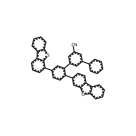 N#Cc1cc(-c2ccccc2)cc(-c2cc(-c3cccc4c3sc3ccccc34)ccc2-c2ccc3c(c2)oc2ccccc23)c1